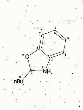 CCCCC1Nc2ccccc2O1